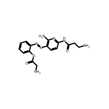 NCCC(=O)Nc1ccc(/N=N/c2ccccc2OC(=O)CN)c(N)n1